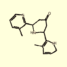 CC1=C(C2CC(=O)CC(c3ncccc3C)N2)NCC=C1